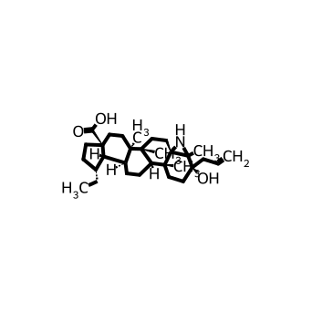 C=CC[C@]1(O)CC[C@]2(C)[C@H]3CC[C@H]4[C@@H]5[C@H](CC)CC[C@]5(C(=O)O)CC[C@@]4(C)[C@]3(C)CC[C@]23NC13C